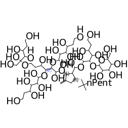 C=C1C[C@@H](CC(C)(C)CCCCC)C(C(O)OC(O)C(OC2OC(CO)C(O)C(O)C2O)C(O)C(O)CCO)[C@@H]1OC(O)/C(OC(O)C(O)C(O)C(O)CCO)=C(\OC(O)C(O)C(O)C(O)CCO)C(O)CCOC(O)(CO)C(O)C(O)CCO